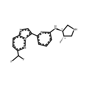 FC(F)c1ccc2ncc(-c3cccc(N[C@H]4CNC[C@@H]4F)n3)n2n1